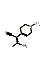 BN1CC=C(/C(C#N)=C(/C)N)CC1